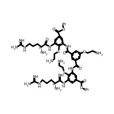 CC(C)OC(=O)c1cc(NC(=N)[C@H](N)CCCNC(=N)N)c(SCCN)c(NC(=O)c2cc(OCCN)cc(C(=O)Nc3cc(C(=O)OC(C)C)cc(NC(=O)[C@H](N)CCCNC(=N)N)c3SCCN)c2)c1